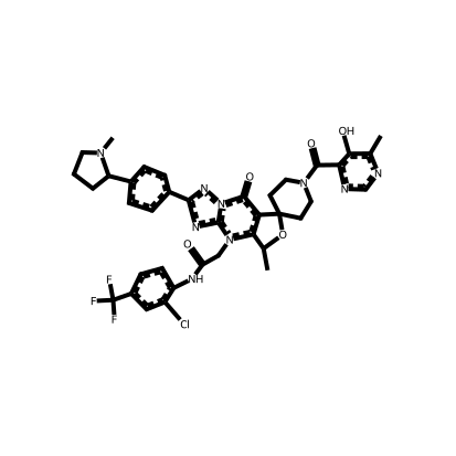 Cc1ncnc(C(=O)N2CCC3(CC2)OC(C)c2c3c(=O)n3nc(-c4ccc(C5CCCN5C)cc4)nc3n2CC(=O)Nc2ccc(C(F)(F)F)cc2Cl)c1O